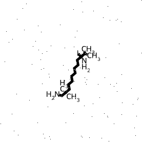 CC(C)C(N)(I)CCCCCCCCC(C)(C)CN